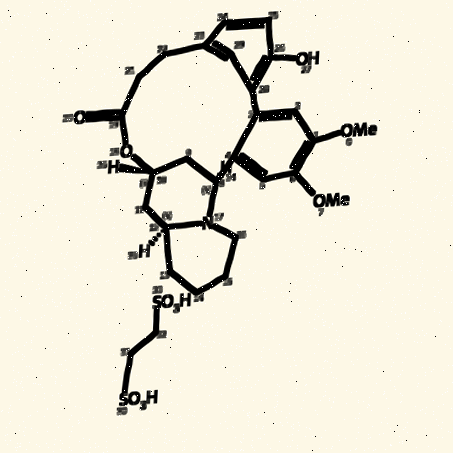 COc1cc2c(cc1OC)[C@@H]1C[C@H](C[C@@H]3CCCCN31)OC(=O)CCc1ccc(O)c-2c1.O=S(=O)(O)CCS(=O)(=O)O